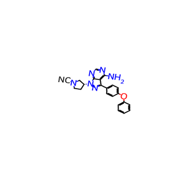 N#CN1CC[C@@H](n2nc(-c3ccc(Oc4ccccc4)cc3)c3c(N)ncnc32)C1